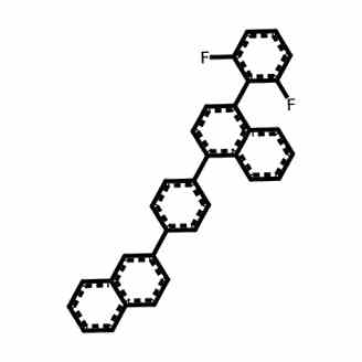 Fc1cccc(F)c1-c1ccc(-c2ccc(-c3ccc4ccccc4c3)cc2)c2ccccc12